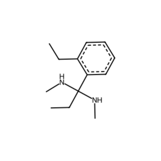 CCc1ccccc1C(CC)(NC)NC